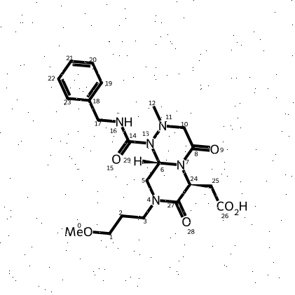 COCCCN1C[C@H]2N(C(=O)CN(C)N2C(=O)NCc2ccccc2)[C@@H](CC(=O)O)C1=O